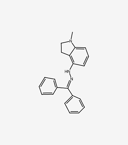 CN1CCc2c(NN=C(c3ccccc3)c3ccccc3)cccc21